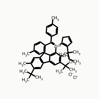 CCC(C)(C)C1=[C]([Zr+2](=[C](c2ccc(C)cc2)c2ccc(C)cc2)[c]2c(C)c(C(C)(C)C)cc3c2Cc2cc(C)c(C(C)(C)C)cc2-3)CC=C1.[Cl-].[Cl-]